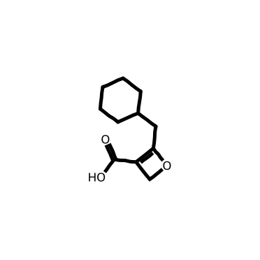 O=C(O)C1=C(CC2CCCCC2)OC1